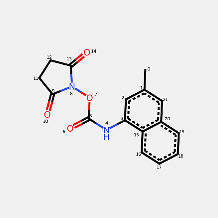 Cc1cc(NC(=O)ON2C(=O)CCC2=O)c2ccccc2c1